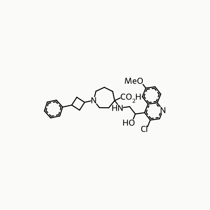 COc1ccc2ncc(Cl)c(C(O)CNC3(C(=O)O)CCCN(C4CC(c5ccccc5)C4)CC3)c2c1